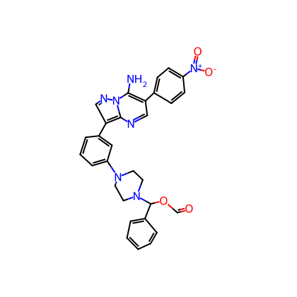 Nc1c(-c2ccc([N+](=O)[O-])cc2)cnc2c(-c3cccc(N4CCN(C(OC=O)c5ccccc5)CC4)c3)cnn12